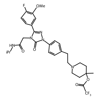 COc1cc(-c2nn(-c3ccc(CCN4CCC(C)(OC(=O)C(F)(F)F)CC4)cc3)c(=O)n2CC(=O)NC(C)C)ccc1F